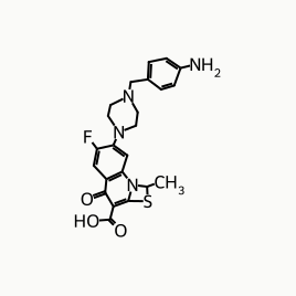 CC1Sc2c(C(=O)O)c(=O)c3cc(F)c(N4CCN(Cc5ccc(N)cc5)CC4)cc3n21